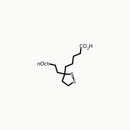 CCCCCCCCCCC1(CCCCC(=O)O)CCSS1